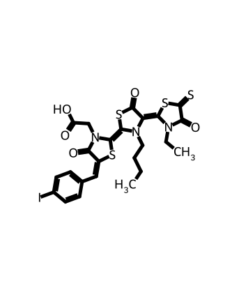 CCCCn1/c(=c2\sc(=Cc3ccc(I)cc3)c(=O)n2CC(=O)O)sc(=O)/c1=C1\SC(=S)C(=O)N1CC